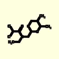 CCN(CC1OCC(C)C(C)O1)C(=O)C(Cl)Cl